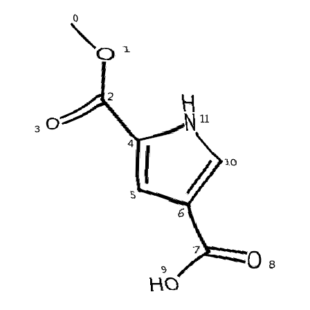 COC(=O)c1cc(C(=O)O)c[nH]1